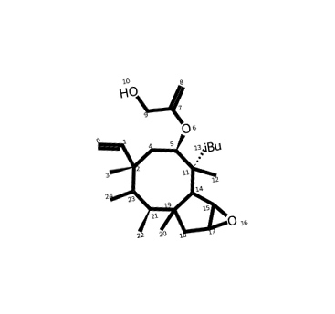 C=C[C@]1(C)C[C@@H](OC(=C)CO)[C@](C)(C(C)CC)C2C3OC3CC2(C)[C@@H](C)C1C